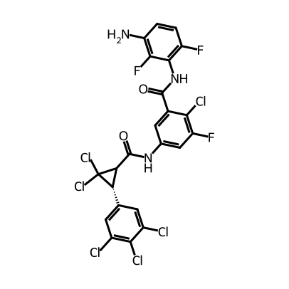 Nc1ccc(F)c(NC(=O)c2cc(NC(=O)C3[C@H](c4cc(Cl)c(Cl)c(Cl)c4)C3(Cl)Cl)cc(F)c2Cl)c1F